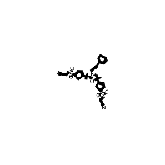 CC(C)(CN(CC#Cc1ccccc1)C(=O)C(C)(C)c1ccc(S(=O)(=O)C=CC#N)cc1)c1ccc(S(=O)(=O)C=CC#N)cc1